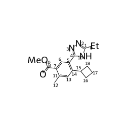 CCc1nnc(-c2cc(C(=O)OC)c(C)cc2C2CCC2)[nH]1